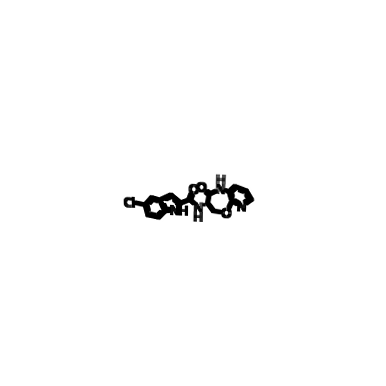 O=C(N[C@H]1COc2ncccc2NC1=O)c1cc2cc(Cl)ccc2[nH]1